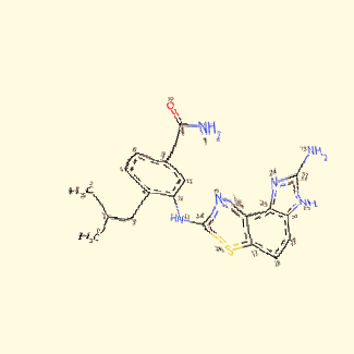 CC(C)Cc1ccc(C(N)=O)cc1Nc1nc2c(ccc3[nH]c(N)nc32)s1